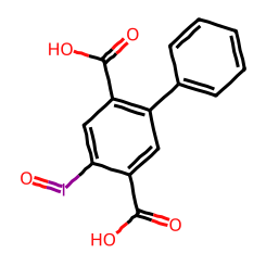 O=Ic1cc(C(=O)O)c(-c2ccccc2)cc1C(=O)O